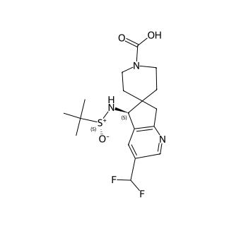 CC(C)(C)[S@@+]([O-])N[C@@H]1c2cc(C(F)F)cnc2CC12CCN(C(=O)O)CC2